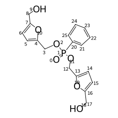 O=P(OCc1ccc(CO)o1)(OCc1ccc(CO)o1)c1ccccc1